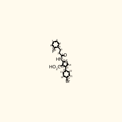 O=C(CCc1ccccc1F)Nc1scc(-c2ccc(Br)cc2)c1C(=O)O